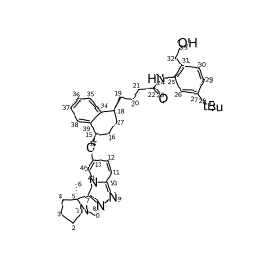 CN1CCC[C@@]1(C)c1nnc2ccc(O[C@@H]3CC[C@H](CCCC(=O)Nc4cc(C(C)(C)C)ccc4CO)c4ccccc43)cn12